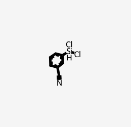 N#Cc1cccc([SiH](Cl)Cl)c1